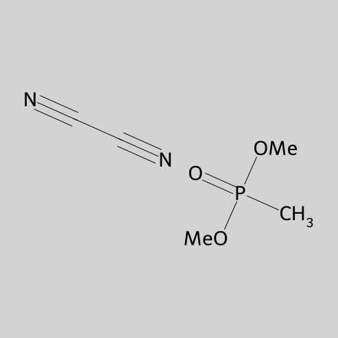 COP(C)(=O)OC.N#CC#N